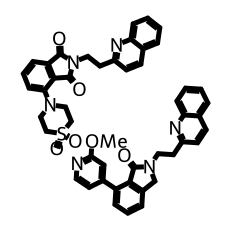 COc1cc(-c2cccc3c2C(=O)N(CCc2ccc4ccccc4n2)C3)ccn1.O=C1c2cccc(N3CCS(=O)(=O)CC3)c2C(=O)N1CCc1ccc2ccccc2n1